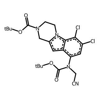 CC(C)(C)OC(=O)N1CCn2c(cc3c(N(CC#N)C(=O)OC(C)(C)C)cc(Cl)c(Cl)c32)C1